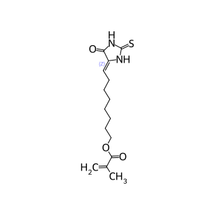 C=C(C)C(=O)OCCCCCCC/C=C1\NC(=S)NC1=O